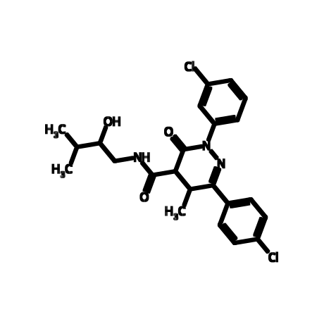 CC(C)C(O)CNC(=O)C1C(=O)N(c2cccc(Cl)c2)N=C(c2ccc(Cl)cc2)C1C